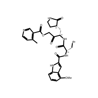 COc1cccc2[nH]c(C(=O)N[C@@H](CC(C)C)C(=O)N[C@@H](C[C@@H]3CCNC3=O)C(=O)COC(=O)c3cnccc3C)cc12